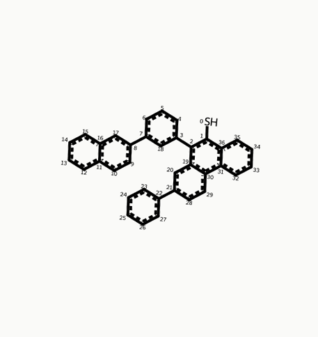 Sc1c(-c2cccc(-c3ccc4ccccc4c3)c2)c2cc(-c3ccccc3)ccc2c2ccccc12